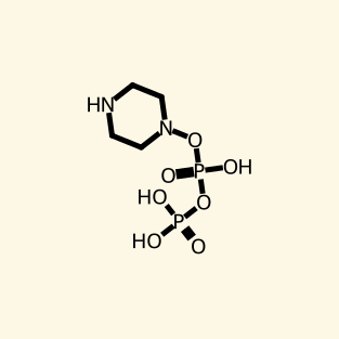 O=P(O)(O)OP(=O)(O)ON1CCNCC1